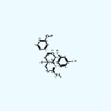 COc1cc([C@H]2C[C@H]3CSC(N)=N[C@@]3(c3ccc(F)cc3F)CO2)ccn1